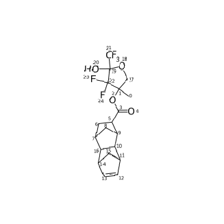 CC1(OC(=O)C2CC3CC2C2C4C=CC(C4)C32)COC(O)(C(F)(F)F)C1(F)F